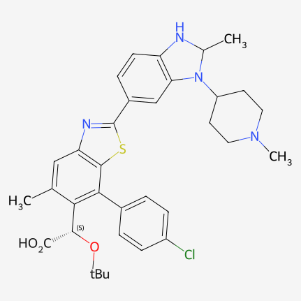 Cc1cc2nc(-c3ccc4c(c3)N(C3CCN(C)CC3)C(C)N4)sc2c(-c2ccc(Cl)cc2)c1[C@H](OC(C)(C)C)C(=O)O